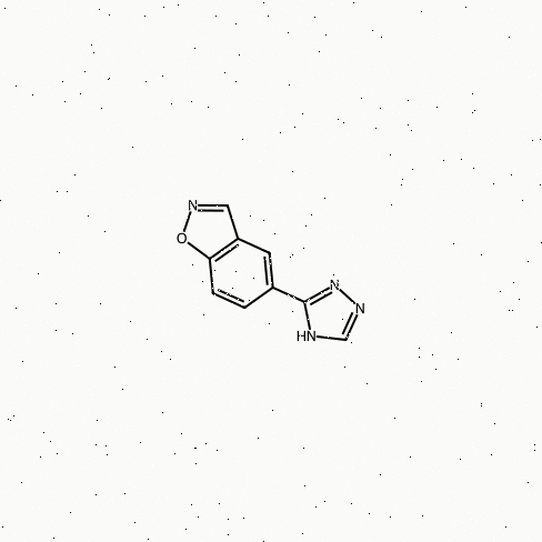 c1nnc(-c2ccc3oncc3c2)[nH]1